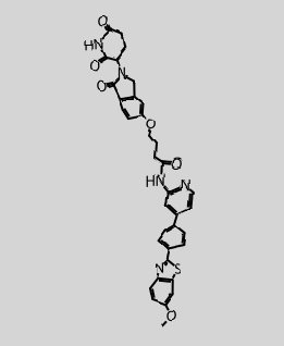 COc1ccc2nc(-c3ccc(-c4ccnc(NC(=O)CCCOc5ccc6c(c5)CN(C5CCC(=O)NC5=O)C6=O)c4)cc3)sc2c1